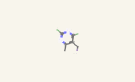 Cc1nc(Cl)nc(Cl)c1CI